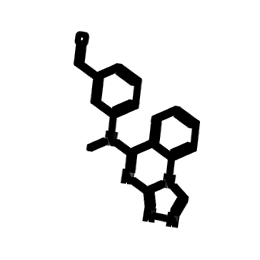 CN(c1cccc(C=O)c1)c1nc2nncn2c2ccccc12